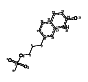 CS(=O)(=O)OCCCc1ccc2ccc(=O)[nH]c2c1